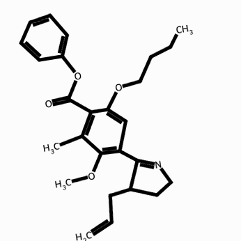 C=CCC1CCN=C1c1cc(OCCCC)c(C(=O)Oc2ccccc2)c(C)c1OC